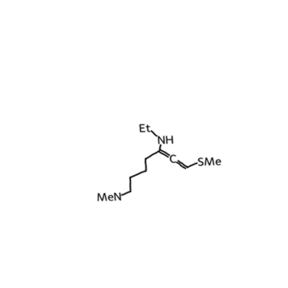 CCNC(=C=CSC)CCCCNC